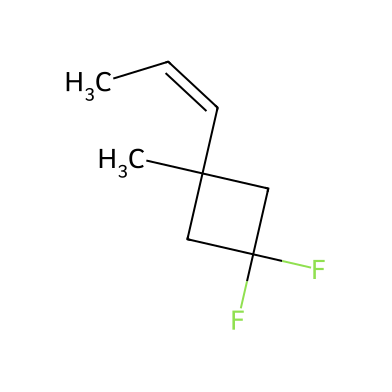 C/C=C\C1(C)CC(F)(F)C1